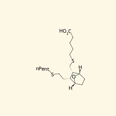 CCCCCSCC[C@@H]1[C@H](CSCCCCC(=O)O)[C@@H]2CC[C@H]1O2